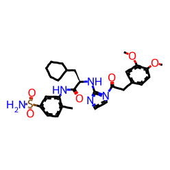 COc1ccc(CC(=O)n2ccnc2N[C@H](CC2CCCCC2)C(=O)Nc2cc(S(N)(=O)=O)ccc2C)cc1OC